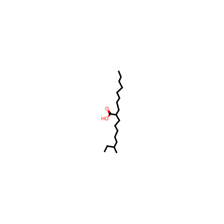 CCCCCCCCC(CCCCCC(C)CC)C(=O)O